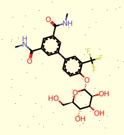 CNC(=O)c1cc(C(=O)NC)cc(-c2ccc(O[C@H]3O[C@H](CO)[C@@H](O)[C@H](O)[C@@H]3O)c(C(F)(F)F)c2)c1